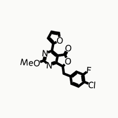 COc1nc(-c2ccco2)c2c(n1)C(Cc1ccc(Cl)c(F)c1)OC2=O